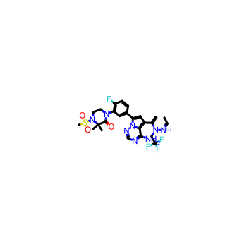 C=C(c1cc(-c2ccc(F)c(N3CCN(S(C)(=O)=O)C(C)(C)C3=O)c2)n2ncnc(N)c12)N(CC(F)(F)F)/N=C\C